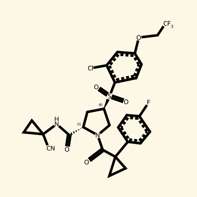 N#CC1(NC(=O)[C@@H]2C[C@@H](S(=O)(=O)c3ccc(OCC(F)(F)F)cc3Cl)CN2C(=O)C2(c3ccc(F)cc3)CC2)CC1